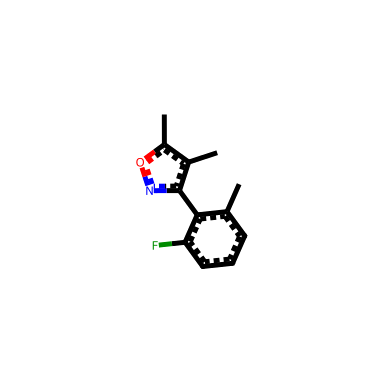 Cc1cccc(F)c1-c1noc(C)c1C